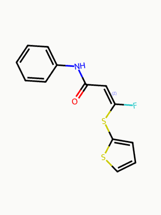 O=C(/C=C(/F)Sc1cccs1)Nc1ccccc1